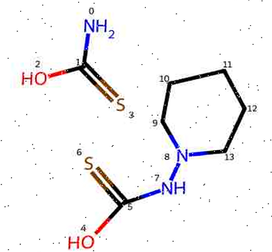 NC(O)=S.OC(=S)NN1CCCCC1